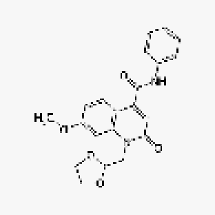 COc1ccc2c(C(=O)Nc3ccccc3)cc(=O)n(CC3OCCO3)c2c1